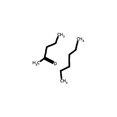 CCCC(C)=O.CCCCCC